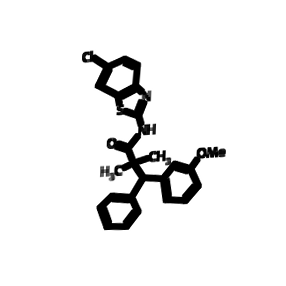 COc1cccc(C(c2ccccc2)C(C)(C)C(=O)Nc2nc3ccc(Cl)cc3s2)c1